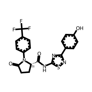 O=C(Nc1nc(-c2ccc(O)cc2)ns1)[C@@H]1CCC(=O)N1c1ccc(C(F)(F)F)cc1